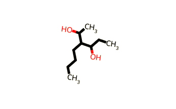 CCCCC(C(C)O)C(O)CC